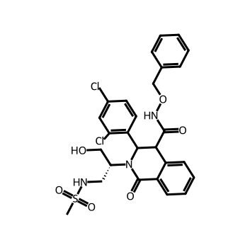 CS(=O)(=O)NC[C@H](CO)N1C(=O)c2ccccc2C(C(=O)NOCc2ccccc2)C1c1ccc(Cl)cc1Cl